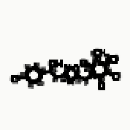 Cn1c(Cl)c(Cl)c(=O)n(Cc2nc(C[C@H](O)c3ccc(Cl)cc3)no2)c1=O